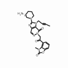 CC#CCn1c(N2CCC[C@@H](N)C2)nc2cnn(CC(=O)c3cccc4oc(=O)n(C)c34)c(=O)c21